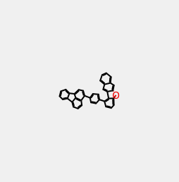 c1ccc2c(c1)-c1cccc3c(-c4ccc(-c5cccc6oc7cc8ccccc8cc7c56)cc4)ccc-2c13